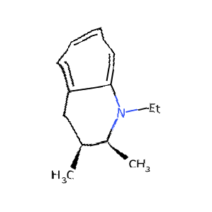 CCN1c2ccccc2C[C@H](C)[C@@H]1C